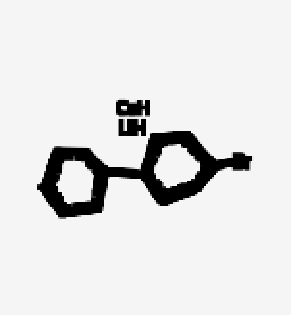 Brc1ccc(-c2cc[c]cc2)cc1.[CsH].[LiH]